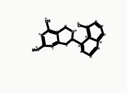 CSc1nc(O)c2c(n1)CC(c1cccc3cccc(Cl)c13)OC2